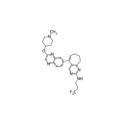 CN1CCC(Oc2cnc3ccc(C4=CCCCc5nc(NCCC(F)(F)F)ncc54)cc3n2)CC1